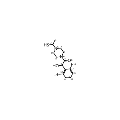 CC(S)N1CCN(C(=O)C(O)c2c(F)cccc2F)CC1